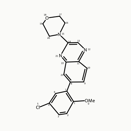 COc1ccc(Cl)cc1-c1ccc2ncc(N3CCOCC3)nc2c1